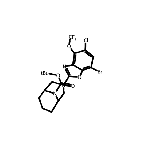 CC(C)(C)OC(=O)N1C2CCCC1CN(c1nc3c(OC(F)(F)F)c(Cl)cc(Br)c3o1)C2